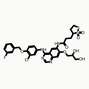 O=C(CCC1CCSS1(=O)=O)Nc1cc2c(Nc3ccc(OCc4cccc(F)c4)c(Cl)c3)ncnc2cc1OCC(O)CO